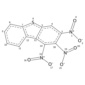 O=[N+]([O-])c1cc2sc3ccccc3c2c([N+](=O)[O-])c1[N+](=O)[O-]